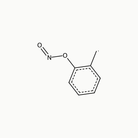 [CH2]c1ccccc1ON=O